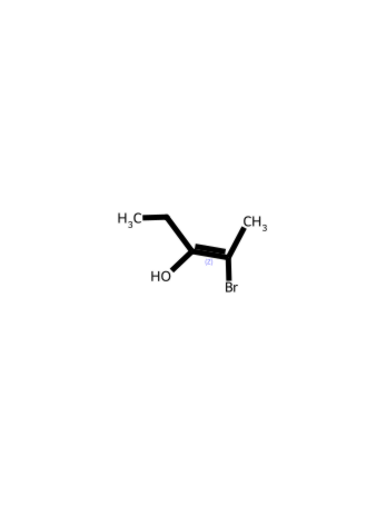 CC/C(O)=C(\C)Br